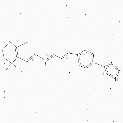 CC1=C(/C=C/C(C)=C/C=C/c2ccc(-c3nnn[nH]3)cc2)C(C)(C)CCC1